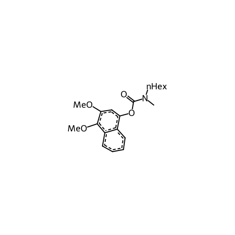 CCCCCCN(C)C(=O)Oc1cc(OC)c(OC)c2ccccc12